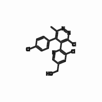 Cc1nnc(Cl)c(-c2ncc(CO)cc2Cl)c1-c1ccc(Cl)cc1